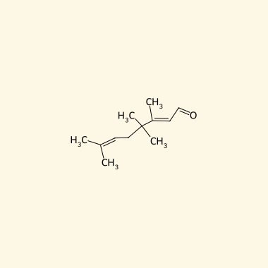 CC(C)=CCC(C)(C)C(C)=CC=O